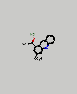 COC(=O)c1cc(C(=O)O)cc2nc3ccccc3cc12.Cl